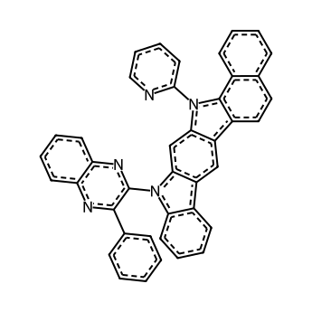 c1ccc(-c2nc3ccccc3nc2-n2c3ccccc3c3cc4c5ccc6ccccc6c5n(-c5ccccn5)c4cc32)cc1